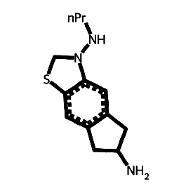 CCCNN1CSc2cc3c(cc21)CC(N)C3